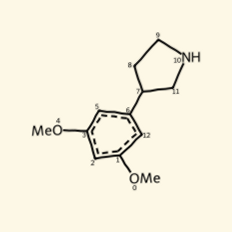 COc1cc(OC)cc(C2CCNC2)c1